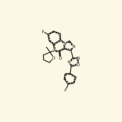 CC1(n2c(=O)c3c(-c4noc(-c5ccc(F)cc5)n4)ncn3c3ccc(F)cc32)CCCO1